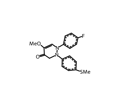 COC1=CN(c2ccc(F)cc2)N(c2ccc(SC)cc2)CC1=O